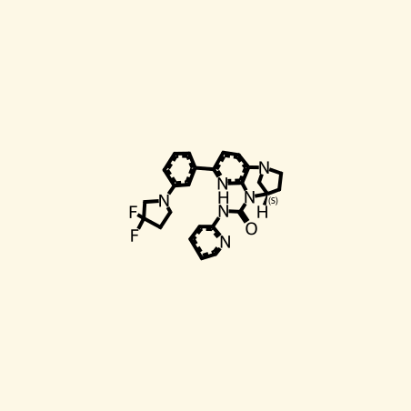 O=C(Nc1ccccn1)N1c2nc(-c3cccc(N4CCC(F)(F)C4)c3)ccc2N2CC[C@H]1C2